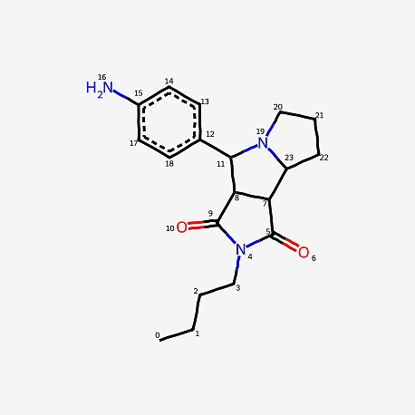 CCCCN1C(=O)C2C(C1=O)C(c1ccc(N)cc1)N1CCCC21